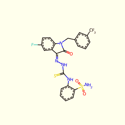 NS(=O)(=O)c1ccccc1NC(=S)NN=C1C(=O)N(Cc2cccc(C(F)(F)F)c2)c2ccc(F)cc21